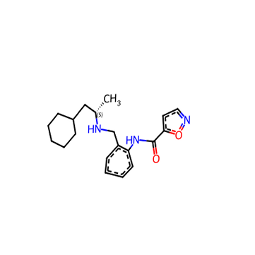 C[C@@H](CC1CCCCC1)NCc1ccccc1NC(=O)c1ccno1